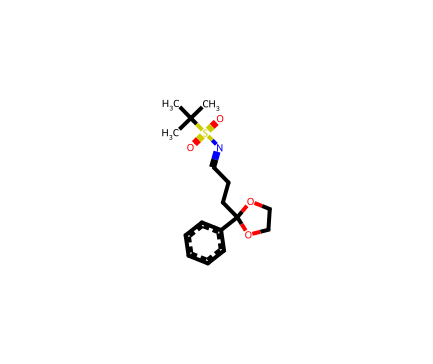 CC(C)(C)S(=O)(=O)N=CCCC1(c2ccccc2)OCCO1